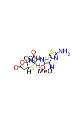 CO/N=C(\C(=O)N[C@@H]1C(=O)N2[C@@H]1S[C@@H]1CC(=O)O[C@@]12C(=O)O)c1csc(N)n1